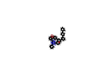 c1ccc(-c2ccc(-c3cccc(-c4cccc(-c5ccc6oc7cccc(-c8nc(-c9ccccc9)nc(-c9ccccc9)n8)c7c6c5)c4)c3)cc2)cc1